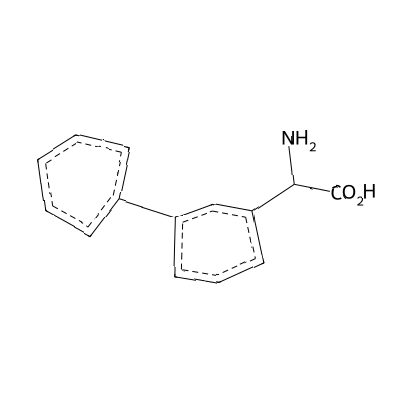 NC(C(=O)O)c1cccc(-c2ccccc2)c1